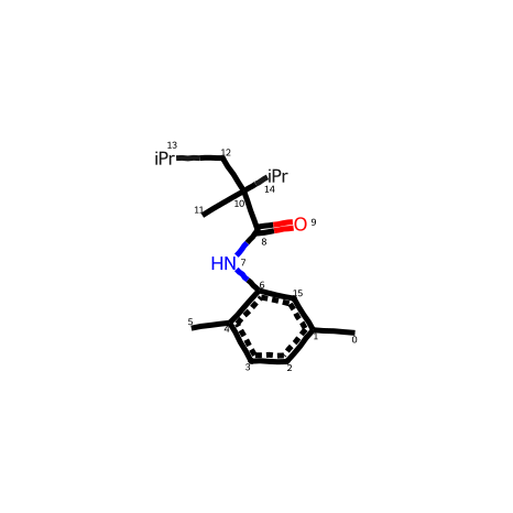 Cc1ccc(C)c(NC(=O)C(C)(CC(C)C)C(C)C)c1